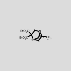 CCOC(=O)C1(C(=O)OCC)CN2CCN1CC2C